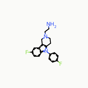 NCCN1CCc2c(c3cc(F)ccc3n2-c2ccc(F)cc2)C1